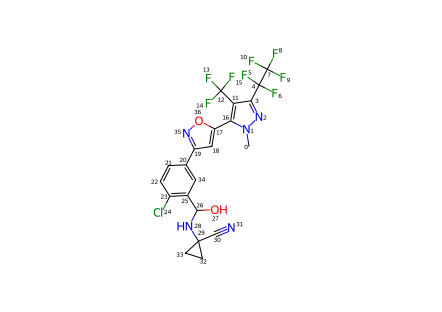 Cn1nc(C(F)(F)C(F)(F)F)c(C(F)(F)F)c1-c1cc(-c2ccc(Cl)c(C(O)NC3(C#N)CC3)c2)no1